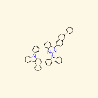 c1ccc(-c2ccc3cc(-c4nc(-n5c6ccccc6c6ccc(-c7cc8c(c9ccccc79)c7ccccc7n8-c7ccccc7)cc65)nc5ccccc45)ccc3c2)cc1